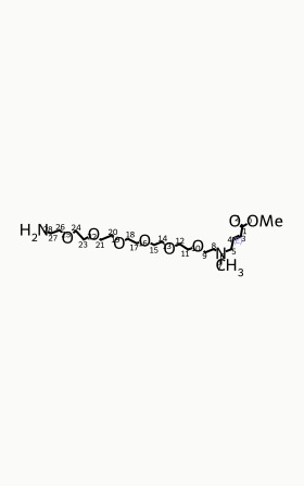 COC(=O)/C=C/CN(C)CCOCCOCCOCCOCCOCCOCCN